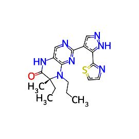 CCCN1c2nc(-c3cn[nH]c3-c3nccs3)ncc2NC(=O)[C@@]1(C)CC